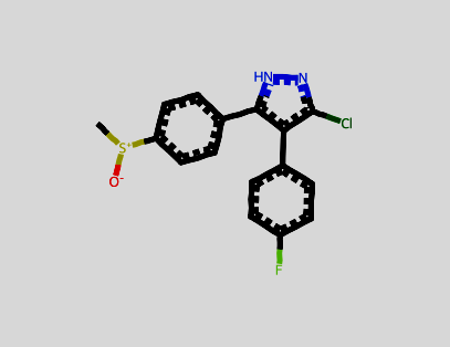 C[S+]([O-])c1ccc(-c2[nH]nc(Cl)c2-c2ccc(F)cc2)cc1